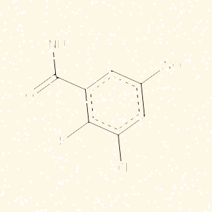 NC(=O)c1cc([N+](=O)[O-])cc(Cl)c1F